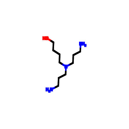 NCCCN(CCCN)CCCCO